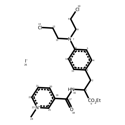 CCOC(=O)C(Cc1ccc(N(CCCl)CCCl)cc1)NC(=O)c1ccc[n+](C)c1.[I-]